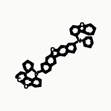 c1ccc(N(c2ccc3cc4c(cc3c2)oc2cc3cc(N(c5ccccc5)c5cccc6oc7ccccc7c56)ccc3cc24)c2cccc3oc4ccccc4c23)cc1